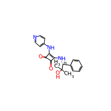 CC(C)(O)[C@H](Nc1c(Nc2ccncc2)c(=O)c1=O)c1ccccc1